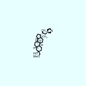 C=C(Cn1ccnc1)[C@H]1CC[C@H]2[C@@H]3CC[C@H]4C[C@@](O)(COC)CC[C@@H]4[C@H]3CC[C@]12C